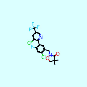 CC1(C)CON(Cc2cc(-c3ncc(C(F)(F)F)cc3Cl)c(F)cc2Cl)C1=O